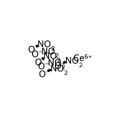 O=[N+]([O-])[O-].O=[N+]([O-])[O-].O=[N+]([O-])[O-].O=[N+]([O-])[O-].O=[N+]([O-])[O-].O=[N+]([O-])[O-].[Ce+6]